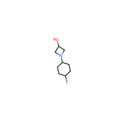 OC1CN(C2CCC(I)CC2)C1